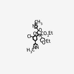 CCOC(=O)N(c1c(C(=O)c2cnn(C)c2)oc2c(Cl)cc(-c3cnn(C)c3)cc12)[C@H]1CCO[C@@H](CC)C1